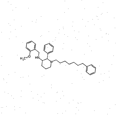 COc1ccccc1CNC1CCCN(CCCCCCCc2ccccc2)C1c1ccccc1